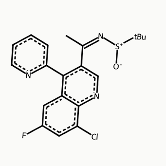 C/C(=N/[S+]([O-])C(C)(C)C)c1cnc2c(Cl)cc(F)cc2c1-c1ccccn1